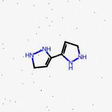 C1=C(C2=CCNN2)NNC1